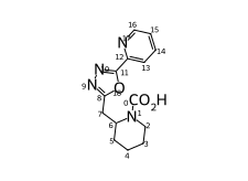 O=C(O)N1CCCCC1Cc1nnc(-c2ccccn2)o1